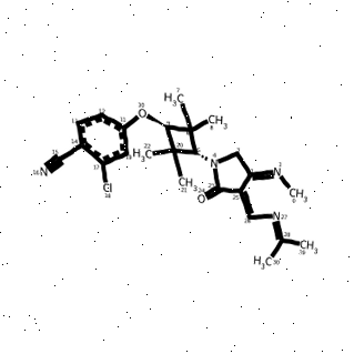 C/N=C1/CN([C@H]2C(C)(C)[C@H](Oc3ccc(C#N)c(Cl)c3)C2(C)C)C(=O)/C1=C/N=C(C)C